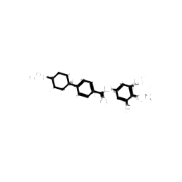 CCCC1CCC(c2ccc(C(=O)Oc3cc(F)c(C#N)c(C(F)(F)F)c3)cc2)CC1